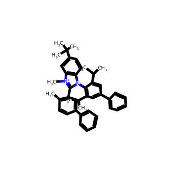 Cc1ccc(-c2ccccc2)cc1-c1n(-c2c(C(C)C)cc(-c3ccccc3)cc2C(C)C)c2ccc(C(C)(C)C)cc2[n+]1C